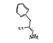 CC/C(=C\NC)Cc1ccccc1